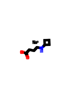 O=C([O-])CCCNC1CCC1.[Na+]